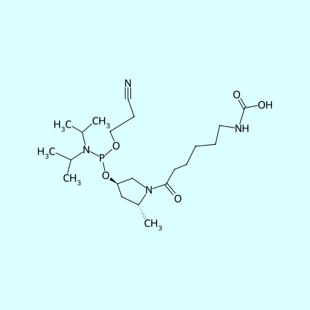 CC(C)N(C(C)C)P(OCCC#N)O[C@@H]1C[C@@H](C)N(C(=O)CCCCCNC(=O)O)C1